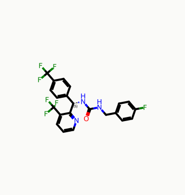 O=C(NCc1ccc(F)cc1)N[C@@H](c1ccc(C(F)(F)F)cc1)c1ncccc1C(F)(F)F